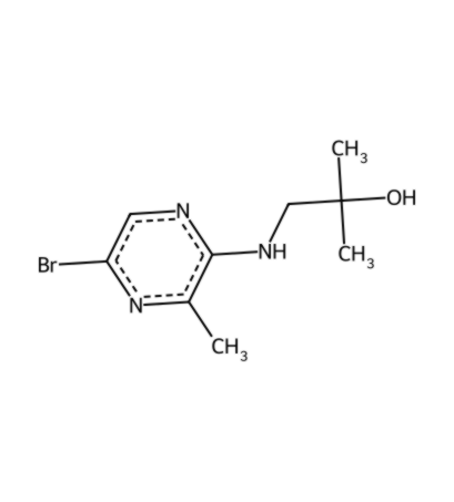 Cc1nc(Br)cnc1NCC(C)(C)O